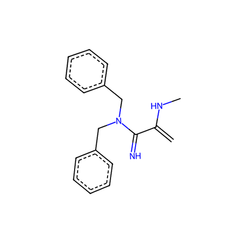 C=C(NC)C(=N)N(Cc1ccccc1)Cc1ccccc1